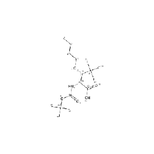 CCCCO[C@@H]([C@@H](NC(=O)OC(C)(C)C)C(=O)O)C(F)(F)F